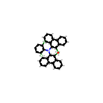 Clc1cccc(Cl)c1N(c1c(Br)c2ccccc2c2ccccc12)c1c(Br)c2ccccc2c2ccccc12